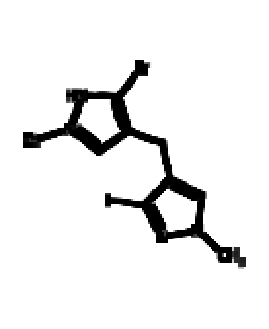 CC[n+]1cc(Cc2cn(C)nc2I)c(Br)[nH]1